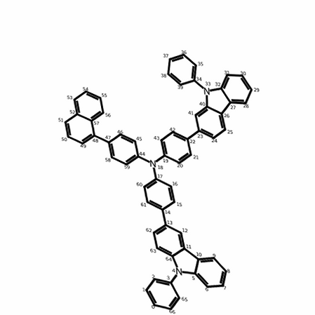 c1ccc(-n2c3ccccc3c3cc(-c4ccc(N(c5ccc(-c6ccc7c8ccccc8n(-c8ccccc8)c7c6)cc5)c5ccc(-c6cccc7ccccc67)cc5)cc4)ccc32)cc1